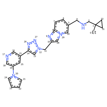 CCC1(CNCc2ccc3nc(Cn4cc(-c5cncc(-n6cccc6)c5)nn4)cn3c2)CC1